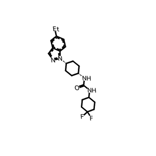 CCc1ccc2c(cnn2[C@H]2CC[C@@H](NC(=O)NC3CCC(F)(F)CC3)CC2)c1